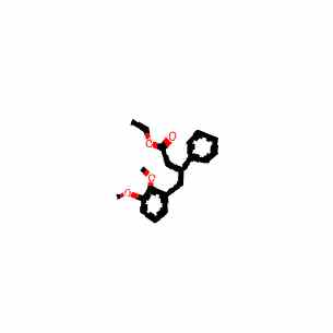 CCOC(=O)CC(Cc1cccc(OC)c1OC)c1ccccc1